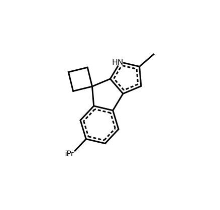 Cc1cc2c([nH]1)C1(CCC1)c1cc(C(C)C)ccc1-2